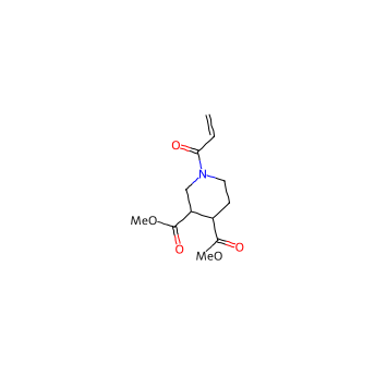 C=CC(=O)N1CCC(C(=O)OC)C(C(=O)OC)C1